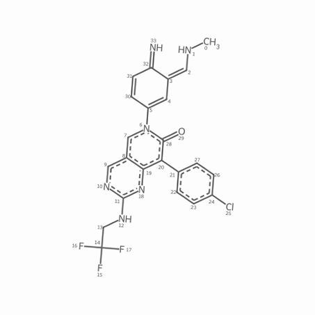 CN/C=C1/C=C(n2cc3cnc(NCC(F)(F)F)nc3c(-c3ccc(Cl)cc3)c2=O)C=CC1=N